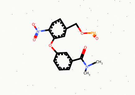 CN(C)C(=O)c1cccc(Oc2cc(CO[PH2]=O)ccc2[N+](=O)[O-])c1